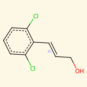 OC/C=C/c1c(Cl)cccc1Cl